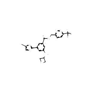 Cc1cnc(-c2cc(OC3COC3)cc(C(=O)NCc3ccc(C(F)(F)F)nn3)c2)s1